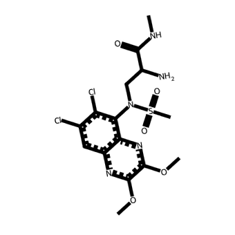 CNC(=O)C(N)CN(c1c(Cl)c(Cl)cc2nc(OC)c(OC)nc12)S(C)(=O)=O